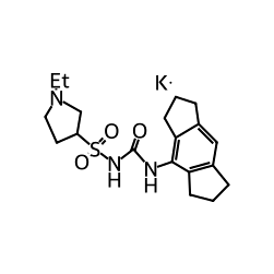 CCN1CCC(S(=O)(=O)NC(=O)Nc2c3c(cc4c2CCC4)CCC3)C1.[K]